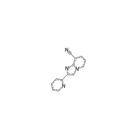 N#Cc1cccn2cc(-c3ccccn3)nc12